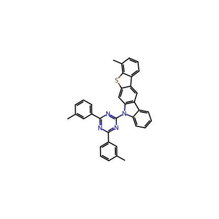 Cc1cccc(-c2nc(-c3cccc(C)c3)nc(-n3c4ccccc4c4cc5c(cc43)sc3c(C)cccc35)n2)c1